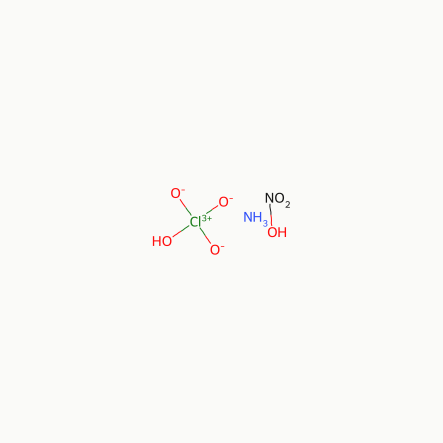 N.O=[N+]([O-])O.[O-][Cl+3]([O-])([O-])O